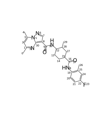 Cc1cc(C)n2ncc(C(=O)NC3CCC(C(=O)Nc4ccc(F)cc4C)CC3C)c2n1